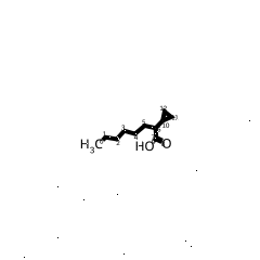 CCCCCCC(C(=O)O)C1CC1